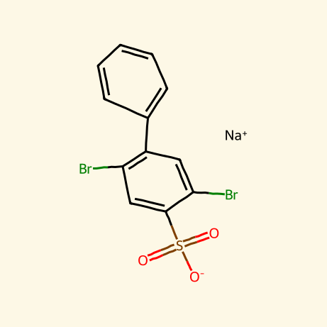 O=S(=O)([O-])c1cc(Br)c(-c2ccccc2)cc1Br.[Na+]